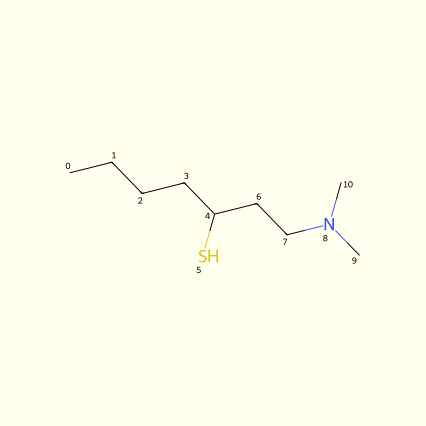 CCCCC(S)CCN(C)C